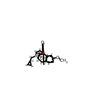 COc1ccc2c(c1)C13CCN(CC4CC4)C(C2)[C@]1(O)CCC(=O)C3